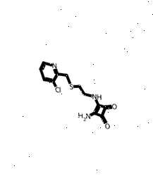 Nc1c(NCCSCc2ncccc2Cl)c(=O)c1=O